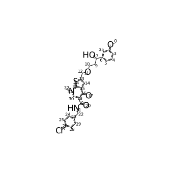 COc1cccc(C(O)CCOCc2cc3c(=O)c(C(=O)NCc4ccc(Cl)cc4)cn(C)c3s2)c1